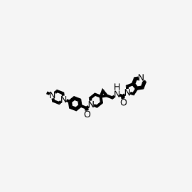 CN1CCN(c2ccc(C(=O)N3CCC4(CC3)CC4CNC(=O)N3Cc4ccncc4C3)cc2)CC1